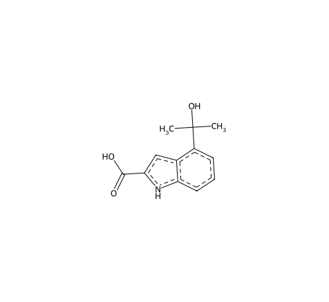 CC(C)(O)c1cccc2[nH]c(C(=O)O)cc12